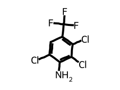 Nc1c(Cl)cc(C(F)(F)F)c(Cl)c1Cl